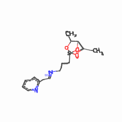 CC1O[Si]2(CCC/N=C/c3ccccn3)OC(C)C1O2